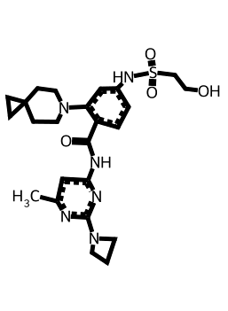 Cc1cc(NC(=O)c2ccc(NS(=O)(=O)CCO)cc2N2CCC3(CC2)CC3)nc(N2CCC2)n1